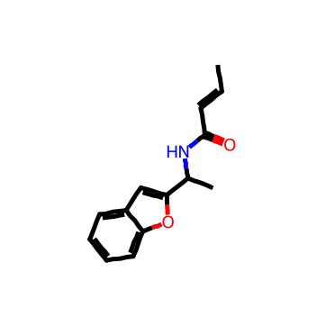 C/C=C/C(=O)NC(C)c1cc2ccccc2o1